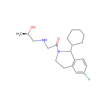 C[C@@H](O)CNCC(=O)N1CCc2cc(F)ccc2C1C1CCCCC1